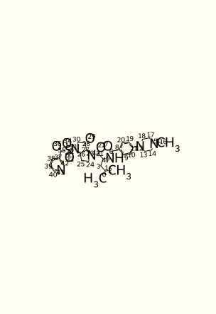 CC(C)CC(NC(=O)c1ccc(N2CCN(C)CC2)cc1)C(=O)N1CCC2C1C(=O)CN2S(=O)(=O)C(=O)c1cccnc1